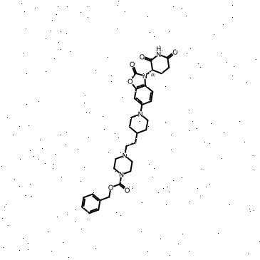 O=C1CC[C@@H](n2c(=O)oc3cc(N4CCC(CCN5CCN(C(=O)OCc6ccccc6)CC5)CC4)ccc32)C(=O)N1